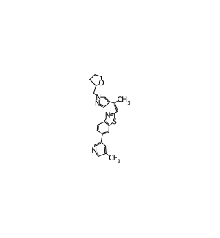 C/C(=C/c1nc2ccc(-c3cncc(C(F)(F)F)c3)cc2s1)c1cnn(CC2CCCO2)c1